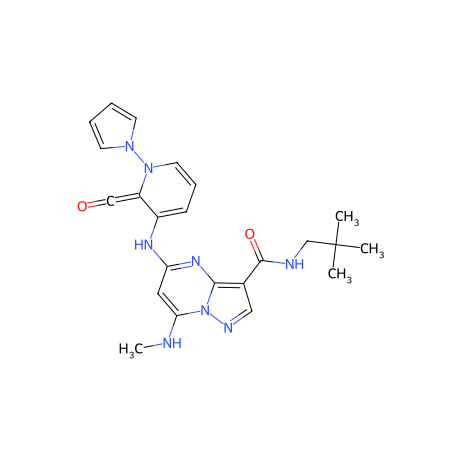 CNc1cc(NC2=CC=CN(n3cccc3)C2=C=O)nc2c(C(=O)NCC(C)(C)C)cnn12